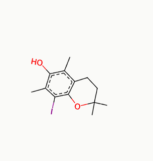 Cc1c(O)c(C)c2c(c1I)OC(C)(C)CC2